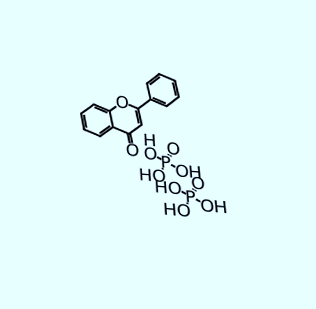 O=P(O)(O)O.O=P(O)(O)O.O=c1cc(-c2ccccc2)oc2ccccc12